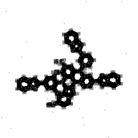 Cc1cc2c3c(c1)N(c1c(C)cc(-c4cc5ccccc5o4)cc1C)c1c(sc4ccc(C(C)(C)C)cc14)B3c1ccc(-c3cc4ccccc4o3)cc1N2c1cccc(-c2cc3ccccc3o2)c1